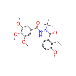 CCc1c(OC)cccc1C(=O)N(NC(=O)c1cc(OC)c(OC)c(OC)c1)C(C)(C)C